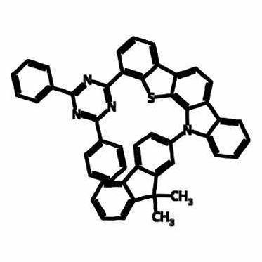 CC1(C)c2ccccc2-c2ccc(-n3c4ccccc4c4ccc5c6cccc(-c7nc(-c8ccccc8)nc(-c8ccccc8)n7)c6sc5c43)cc21